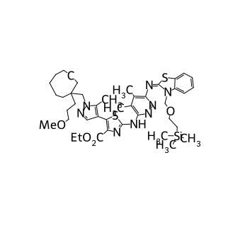 CCOC(=O)c1nc(Nc2nnc(N=c3sc4ccccc4n3COCC[Si](C)(C)C)c(C)c2C)sc1-c1cnn(CC2(CCCOC)CCCCCCC2)c1C